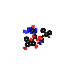 COc1ccc(C(OC[C@H]2O[C@@H](n3cnc4c(=O)[nH]c(N)nc43)C[C@@H]2OP(OCC[SiH2]C(c2ccccc2)c2ccccc2)N(C(C)C)C(C)C)(c2ccccc2)c2ccc(OC)cc2)cc1